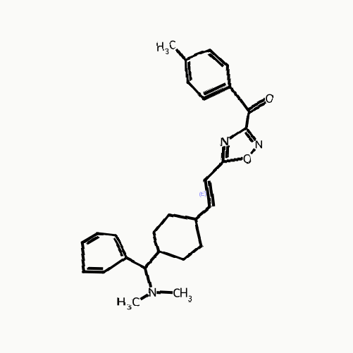 Cc1ccc(C(=O)c2noc(/C=C/C3CCC(C(c4ccccc4)N(C)C)CC3)n2)cc1